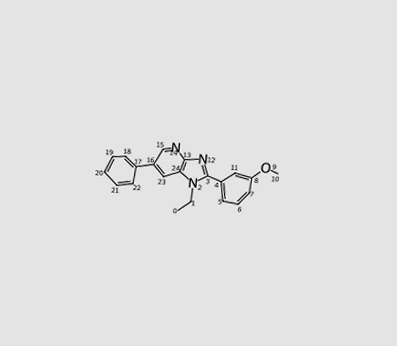 CCn1c(-c2cccc(OC)c2)nc2ncc(-c3ccccc3)cc21